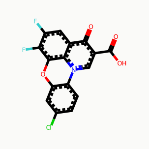 O=C(O)c1cn2c3c(c(F)c(F)cc3c1=O)Oc1cc(Cl)ccc1-2